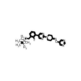 CC(C)(C)[Si](C)(C)OCc1cccc(-c2cnc(N3CCC(=NOc4cncnc4)CC3)nc2)c1F